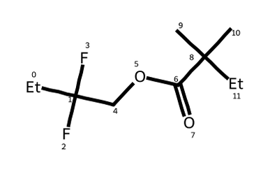 CCC(F)(F)COC(=O)C(C)(C)CC